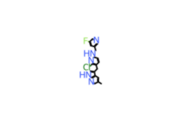 Cc1cnc2[nH]cc(Cc3ccc(NCc4cncc(F)c4)nc3Cl)c2c1